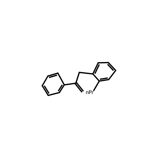 C=C(Cc1ccccc1CCC)c1ccccc1